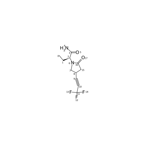 CC[C@@H](C(N)=O)N1CC(C#CC(F)(F)F)CC1=O